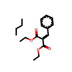 CCCC.CCOC(=O)C(=Cc1ccccc1)C(=O)OCC